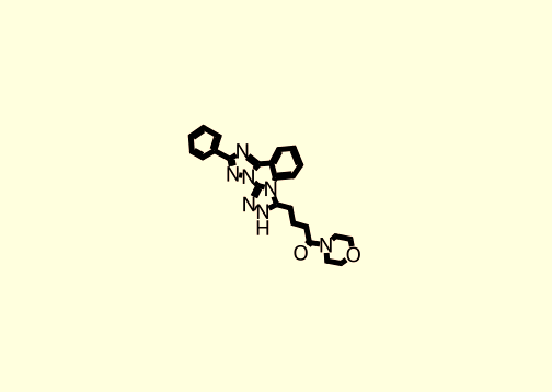 O=C(CCCC1NN=C2N1c1ccccc1-c1nc(-c3ccccc3)nn12)N1CCOCC1